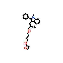 Cn1c(-c2ccccc2)c(/C=C(\C#N)COCCCCOC2CCO2)c2ccccc21